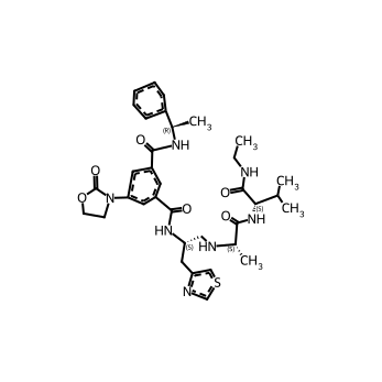 CCNC(=O)[C@@H](NC(=O)[C@H](C)NC[C@H](Cc1cscn1)NC(=O)c1cc(C(=O)N[C@H](C)c2ccccc2)cc(N2CCOC2=O)c1)C(C)C